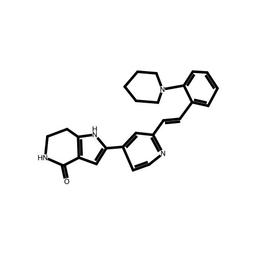 O=C1NCCc2[nH]c(-c3ccnc(C=Cc4ccccc4N4CCCCC4)c3)cc21